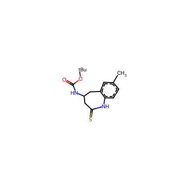 Cc1ccc2c(c1)CC(NC(=O)OC(C)(C)C)CC(=S)N2